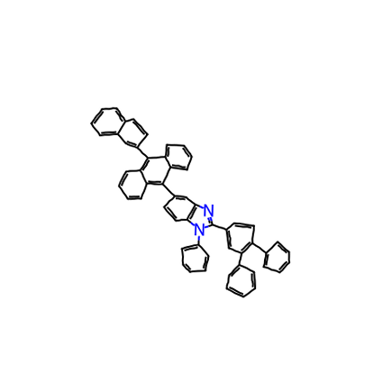 c1ccc(-c2ccc(-c3nc4cc(-c5c6ccccc6c(-c6ccc7ccccc7c6)c6ccccc56)ccc4n3-c3ccccc3)cc2-c2ccccc2)cc1